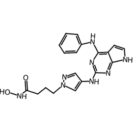 O=C(CCCn1cc(Nc2nc(Nc3ccccc3)c3cc[nH]c3n2)cn1)NO